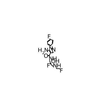 Nc1c(C(=O)NCC(O)(F)CNCCF)cnn1-c1ccc(F)cc1